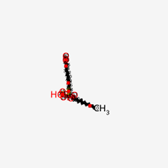 CCCCCCCCCCCCC(=O)O[C@H](COP(=O)(O)O)CSCCCCCCCCCCCCCCOC=O